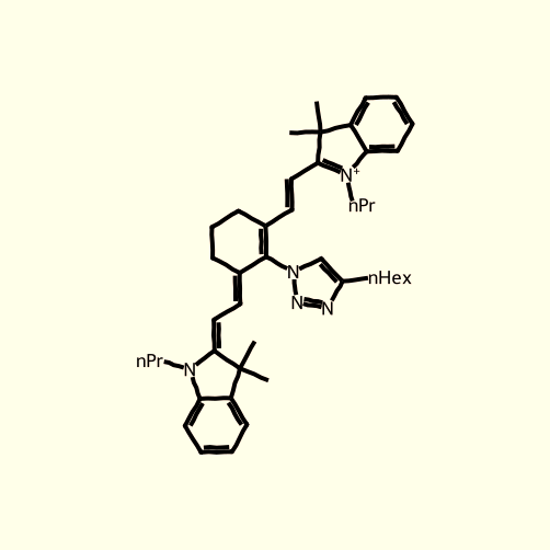 CCCCCCc1cn(C2=C(/C=C/C3=[N+](CCC)c4ccccc4C3(C)C)CCC/C2=C\C=C2\N(CCC)c3ccccc3C2(C)C)nn1